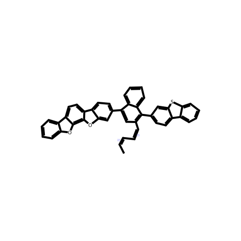 C/C=C\C=C/c1cc(-c2ccc3c(c2)oc2c3ccc3c4ccccc4oc32)c2ccccc2c1-c1ccc2c(c1)sc1ccccc12